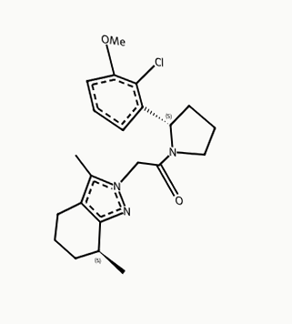 COc1cccc([C@@H]2CCCN2C(=O)Cn2nc3c(c2C)CCC[C@@H]3C)c1Cl